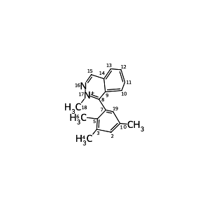 Cc1cc(C)c(C)c(-c2c3ccccc3cn[n+]2C)c1